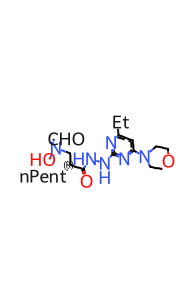 CCCCC[C@H](CN(O)C=O)C(=O)NNc1nc(CC)cc(N2CCOCC2)n1